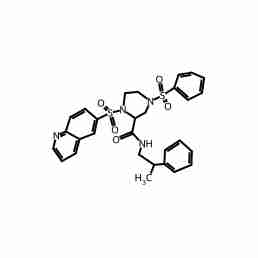 CC(CNC(=O)C1CN(S(=O)(=O)c2ccccc2)CCN1S(=O)(=O)c1ccc2ncccc2c1)c1ccccc1